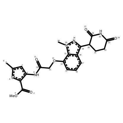 COC(=O)c1sc(I)cc1NC(=O)COc1cccc2c(C3CCC(=O)NC3=O)nn(C)c12